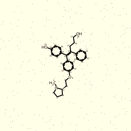 CN1CCC[C@@H]1CCOc1ccc(/C(=C(/CCCO)c2ccccc2)c2ccc(O)cc2)cc1